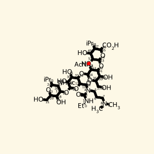 CCNC(=O)N(CCCN(C)C)C(=O)C1OC(OC2C(O)C(CO)OC(C(C)C)C2NC(C)=O)C(O)C(O)C1OC1OC(CO)C(O)C(OC2OC(C(=O)O)C(C(C)C)C(O)C2O)C1NC(C)=O